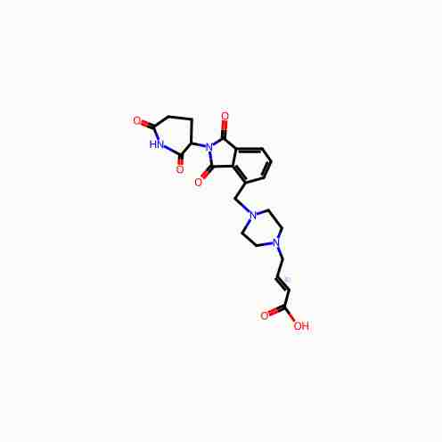 O=C(O)/C=C/CN1CCN(Cc2cccc3c2C(=O)N(C2CCC(=O)NC2=O)C3=O)CC1